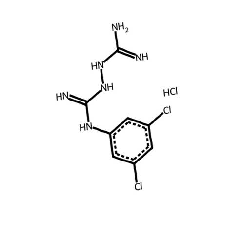 Cl.N=C(N)NNC(=N)Nc1cc(Cl)cc(Cl)c1